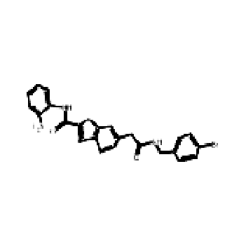 Nc1ccccc1NC(=O)c1cc2ccc(CC(=O)NCc3ccc(Br)cc3)cc2s1